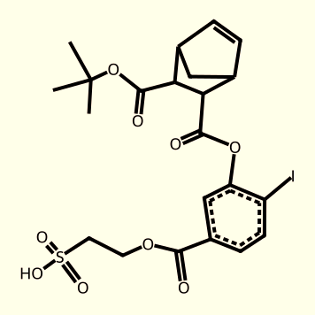 CC(C)(C)OC(=O)C1C2C=CC(C2)C1C(=O)Oc1cc(C(=O)OCCS(=O)(=O)O)ccc1I